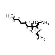 C=CS/C(=C\N)C(C)(C)CCCCCC